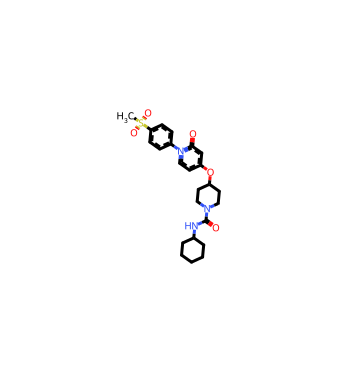 CS(=O)(=O)c1ccc(-n2ccc(OC3CCN(C(=O)NC4CCCCC4)CC3)cc2=O)cc1